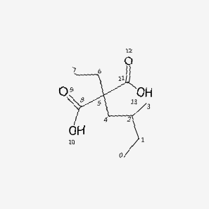 CCC(C)CC(CC)(C(=O)O)C(=O)O